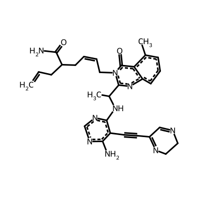 C=CCC(C/C=C\Cn1c(C(C)Nc2ncnc(N)c2C#CC2=NCCN=C2)nc2cccc(C)c2c1=O)C(N)=O